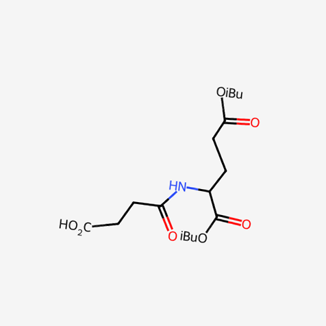 CC(C)COC(=O)CCC(NC(=O)CCC(=O)O)C(=O)OCC(C)C